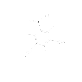 N#Cc1c(I)c(C#N)c(I)c(C(=O)O)c1I